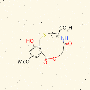 COc1cc(O)c2c(c1)C(=O)OCCC(=O)N[C@H](C(=O)O)CSC2